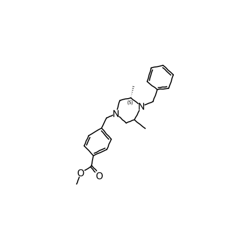 COC(=O)c1ccc(CN2CC(C)N(Cc3ccccc3)[C@@H](C)C2)cc1